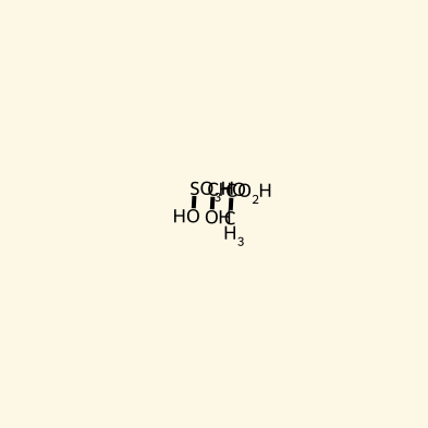 CC(=O)O.O=CO.O=S(=O)(O)O